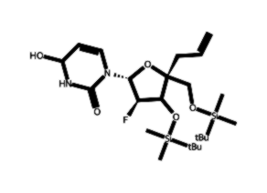 C=CC[C@]1(CO[Si](C)(C)C(C)(C)C)O[C@@H](N2C=CC(O)NC2=O)[C@H](F)C1O[Si](C)(C)C(C)(C)C